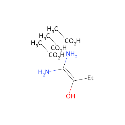 CC(=O)O.CC(=O)O.CC(=O)O.CCC(O)=C(N)N